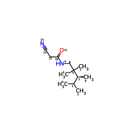 CC(C)[C@H](C)C(C)(C)CNC(=O)CC#N